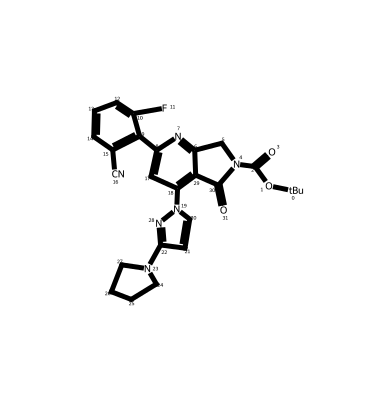 CC(C)(C)OC(=O)N1Cc2nc(-c3c(F)cccc3C#N)cc(-n3ccc(N4CCCC4)n3)c2C1=O